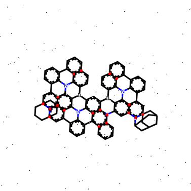 c1ccc(-c2cccc(-c3ccccc3)c2N2c3ccccc3B3c4cc5c(cc4N(c4ccccc4)c4cc(N6C7CC8CC(C7)CC6C8)cc2c43)N(c2c(-c3ccccc3)cccc2-c2ccccc2)c2cc(N3C4CCCC3CCC4)cc3c2B5c2ccccc2N3c2c(-c3ccccc3)cccc2-c2ccccc2)cc1